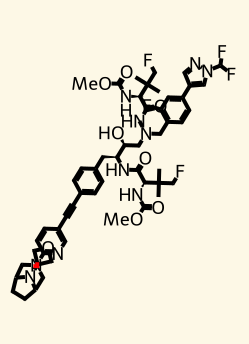 COC(=O)N[C@H](C(=O)N[C@@H](Cc1ccc(C#Cc2ccc(N3CC4CCC(C3)N4C3COC3)nc2)cc1)[C@@H](O)CN(Cc1ccc(-c2cnn(C(F)F)c2)cc1F)NC(=O)[C@@H](NC(=O)OC)C(C)(C)CF)C(C)(C)CF